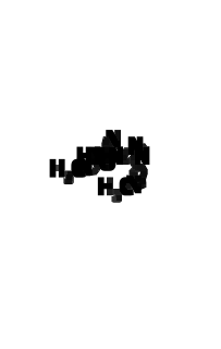 CN1CCCC(NC(=O)c2ccncc2Nc2cc(-c3ccc4ccn(C)c4c3)c3nccnc3c2)C1